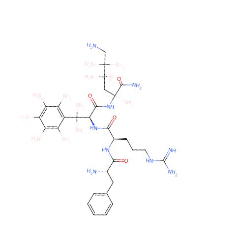 Bc1c(B)c(B)c(C(B)(B)[C@H](NC(=O)[C@@H](CCCNC(=N)N)NC(=O)[C@@H](N)Cc2ccccc2)C(=O)N[C@@](B)(CC(B)(B)C(B)(B)CN)C(N)=O)c(B)c1B